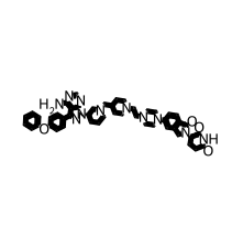 Nc1ncnc2c1c(-c1ccc(Oc3ccccc3)cc1)nn2[C@@H]1CCCN(CC2CCN(CCN3CCN(c4ccc5c(c4)CN(C4CCC(=O)NC4=O)C5=O)CC3)CC2)C1